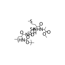 COC(=O)C(C)NC(=O)C(CCSC)N[Se]C(=O)CNC(=O)C(CC(C)C)NC(=O)OC(C)(C)C